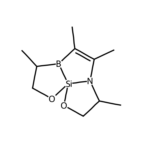 CC1=C(C)N2C(C)CO[Si]23OCC(C)B13